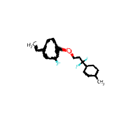 C=Cc1ccc(OCCC(F)(F)C2CCC(C)CC2)c(F)c1